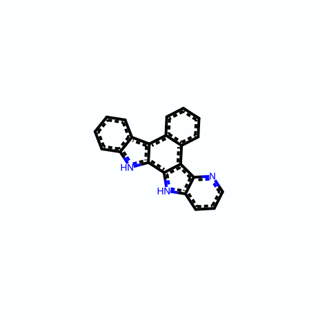 c1ccc2c(c1)[nH]c1c3[nH]c4cccnc4c3c3ccccc3c21